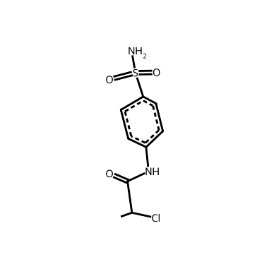 CC(Cl)C(=O)Nc1ccc(S(N)(=O)=O)cc1